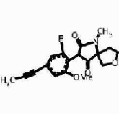 CC#Cc1cc(F)c(C2C(=O)N(C)C3(CCOC3)C2=O)c(OC)c1